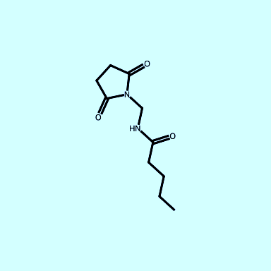 CCCCC(=O)NCN1C(=O)CCC1=O